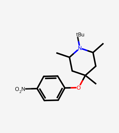 CC1CC(C)(Oc2ccc([N+](=O)[O-])cc2)CC(C)N1C(C)(C)C